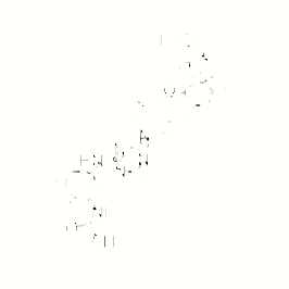 CC(=O)Nc1cccc(Nc2ncnc(N3CCC(Oc4ccccc4OC(C)C)CC3)n2)c1